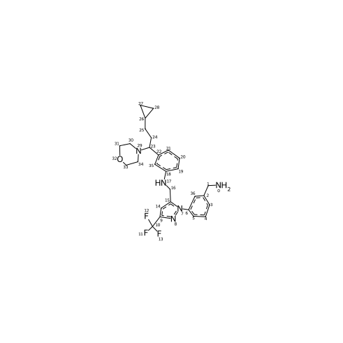 NCc1cccc(-n2nc(C(F)(F)F)cc2CNc2cccc(C(CCC3CC3)N3CCOCC3)c2)c1